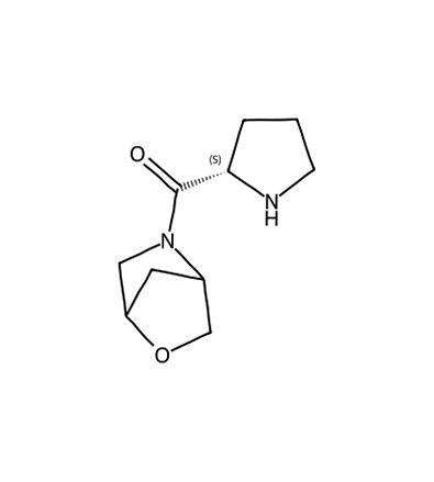 O=C([C@@H]1CCCN1)N1CC2CC1CO2